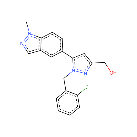 Cn1ncc2cc(-c3cc(CO)nn3Cc3ccccc3Cl)ccc21